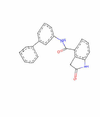 O=C1Cc2c(cccc2C(=O)Nc2cccc(-c3ccccc3)c2)N1